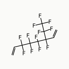 C=CC(F)(F)C(F)(F)C(F)(F)C(F)(C=C)C(F)(F)C(F)(F)F